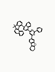 CC1(C)c2cccc(-c3ccc(-c4cc(-c5ccc6c7c(oc6c5)CCC=C7)nc(-c5ccccc5)n4)c4ccccc34)c2-c2c1ccc1ccccc21